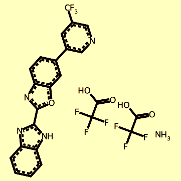 FC(F)(F)c1cncc(-c2ccc3nc(-c4nc5ccccc5[nH]4)oc3c2)c1.N.O=C(O)C(F)(F)F.O=C(O)C(F)(F)F